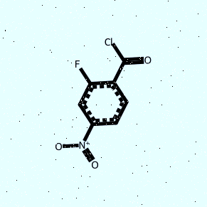 O=C(Cl)c1ccc([N+](=O)[O-])cc1F